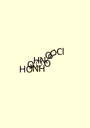 O=C(O)NC1CCC(NC(=O)c2cc3cc(Cl)ccc3o2)CC1